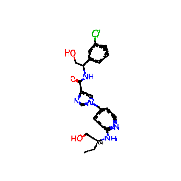 CC[C@@H](CO)Nc1cc(-n2cnc(C(=O)NC(CO)c3cccc(Cl)c3)c2)ccn1